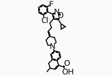 CC1C=C(C(=O)O)c2ccc(N3CCC(=CCCc4c(-c5c(F)cccc5Cl)noc4C4CC4)CC3)cc2C1